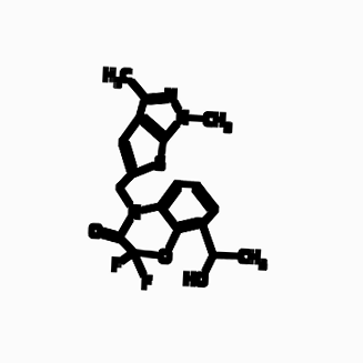 Cc1nn(C)c2sc(CN3C(=O)C(F)(F)Oc4c(C(C)O)cccc43)cc12